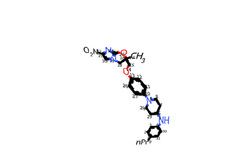 CCCc1ccc(NC2CCN(c3ccc(OCC4(C)Cn5cc([N+](=O)[O-])nc5O4)cc3)CC2)cc1